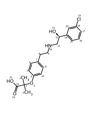 CC(C)(Oc1ccc(CCNC[C@@H](O)c2cccc(Cl)c2)cc1)C(=O)O